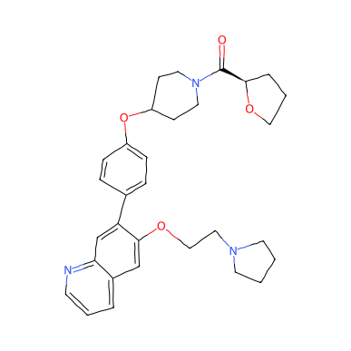 O=C([C@H]1CCCO1)N1CCC(Oc2ccc(-c3cc4ncccc4cc3OCCN3CCCC3)cc2)CC1